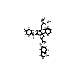 CCOC(CN1C(=O)C(CCC(=O)Nc2ccc3[nH]ccc3c2)(NC(=O)Nc2ccc(C)cc2)c2ccccc21)OCC